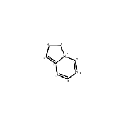 C1=CC2=CCCN2C=N1